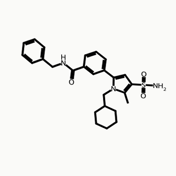 Cc1c(S(N)(=O)=O)cc(-c2cccc(C(=O)NCc3ccccc3)c2)n1CC1CCCCC1